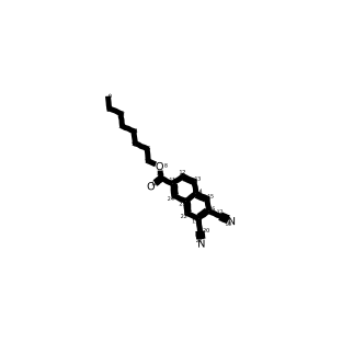 CCCCCCCCOC(=O)c1ccc2cc(C#N)c(C#N)cc2c1